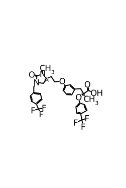 CN1C(=O)N(Cc2ccc(C(F)(F)F)cc2)C[C@@H]1CCOc1cccc(C[C@](C)(Oc2ccc(C(F)(F)F)cc2)C(=O)O)c1